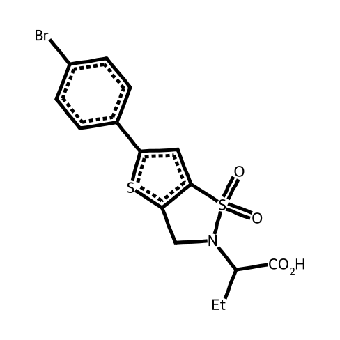 CCC(C(=O)O)N1Cc2sc(-c3ccc(Br)cc3)cc2S1(=O)=O